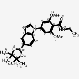 COc1cc(-n2cnc3cc(B4OC(C)(C)C(C)(C)O4)ccc32)cc(OC)c1C(=O)NCC(F)(F)F